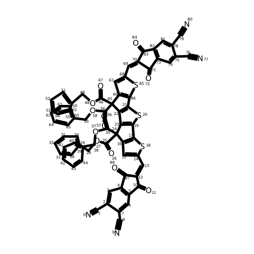 N#Cc1cc2c(cc1C#N)C(=O)C(=Cc1cc3c(s1)-c1sc4c(c1C3(C(=O)OCc1ccccc1)C(=O)OCc1ccccc1)C(C(=O)OCc1ccccc1)(C(=O)OCc1ccccc1)c1cc(C=C3C(=O)c5cc(C#N)c(C#N)cc5C3=O)sc1-4)C2=O